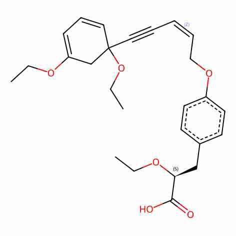 CCOC1=CC=CC(C#C/C=C\COc2ccc(C[C@H](OCC)C(=O)O)cc2)(OCC)C1